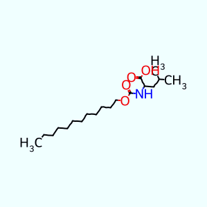 CCCCCCCCCCCCOC(=O)NC(CC(C)C)C(=O)O